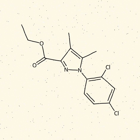 CCOC(=O)c1nn(-c2ccc(Cl)cc2Cl)c(C)c1C